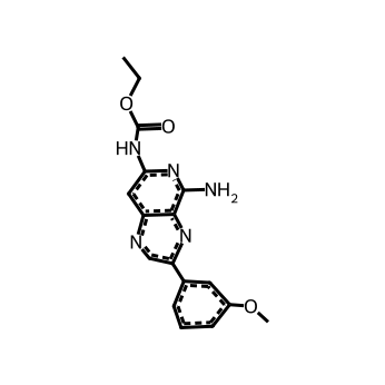 CCOC(=O)Nc1cc2ncc(-c3cccc(OC)c3)nc2c(N)n1